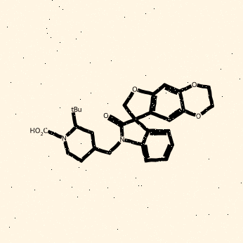 CC(C)(C)C1CC(CN2C(=O)C3(COc4cc5c(cc43)OCCO5)c3ccccc32)CCN1C(=O)O